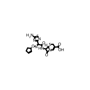 Nc1nc(C(=NOC2C=CCC2)C(=O)NC2C(=O)N3C=C(C(=O)O)CS[C@H]23)ns1